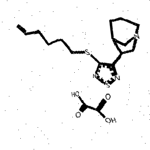 C=CCCCCSc1nsnc1C1CN2CCCC1C2.O=C(O)C(=O)O